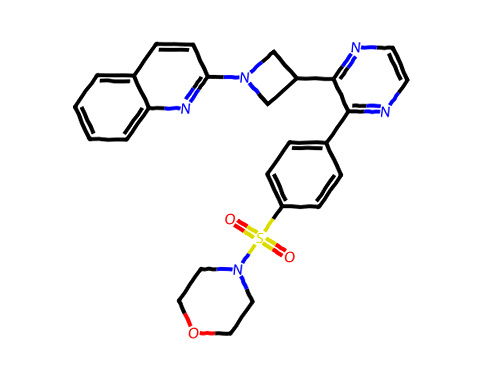 O=S(=O)(c1ccc(-c2nccnc2C2CN(c3ccc4ccccc4n3)C2)cc1)N1CCOCC1